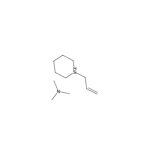 C=CC[SiH]1CCCCC1.CN(C)C